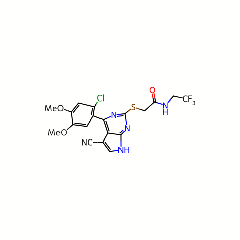 COc1cc(Cl)c(-c2nc(SCC(=O)NCC(F)(F)F)nc3[nH]cc(C#N)c23)cc1OC